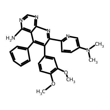 COc1ccc(-c2c(-c3ccc(N(C)C)cn3)nc3ncnc(N)c3c2-c2ccccc2)cc1OC